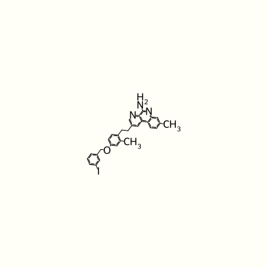 Cc1ccc2c(c1)nc(N)c1ncc(CCc3ccc(OCc4cccc(I)c4)cc3C)cc12